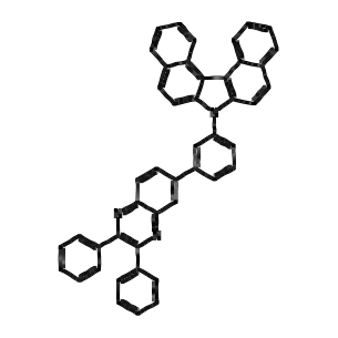 c1ccc(-c2nc3ccc(-c4cccc(-n5c6ccc7ccccc7c6c6c7ccccc7ccc65)c4)cc3nc2-c2ccccc2)cc1